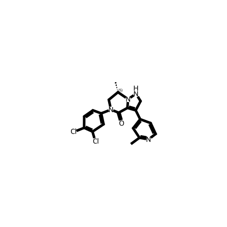 Cc1cc(C2=C3C(=O)N(c4ccc(Cl)c(Cl)c4)C[C@H](C)N3NC2)ccn1